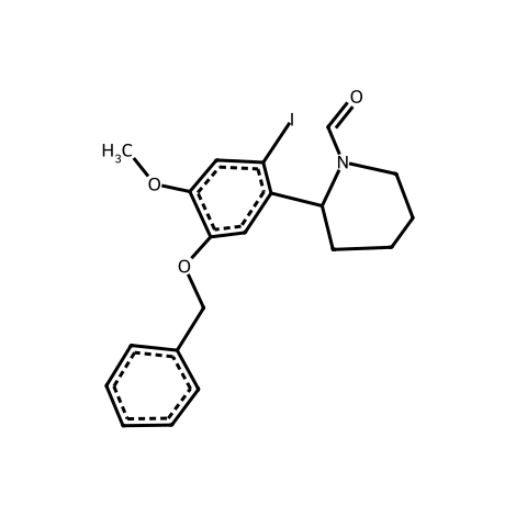 COc1cc(I)c(C2CCCCN2C=O)cc1OCc1ccccc1